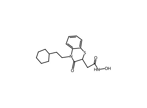 O=C(CC1Sc2ccccc2N(CCC2CCCCC2)C1=O)NO